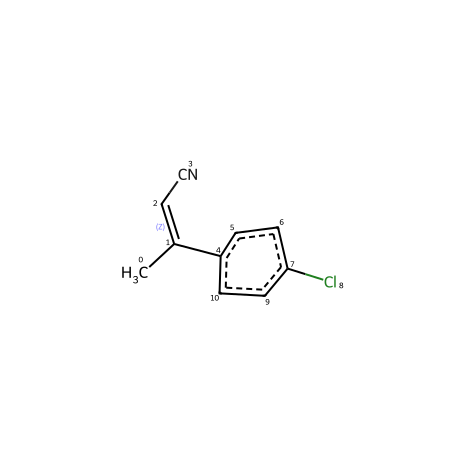 C/C(=C/C#N)c1ccc(Cl)cc1